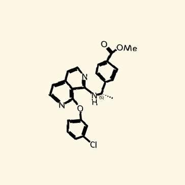 COC(=O)c1ccc([C@H](C)Nc2nccc3ccnc(Oc4cccc(Cl)c4)c23)cc1